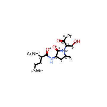 CSCCC(NC(C)=O)C(=O)NC1CC(C)N(C(CO)C(=O)C(C)C)C1=O